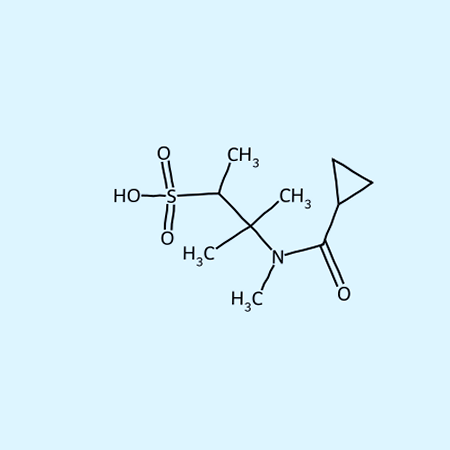 CC(C(C)(C)N(C)C(=O)C1CC1)S(=O)(=O)O